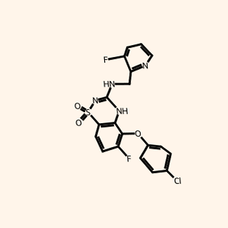 O=S1(=O)N=C(NCc2ncccc2F)Nc2c1ccc(F)c2Oc1ccc(Cl)cc1